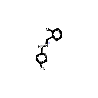 N#Cc1ccc(N/N=C/c2ccccc2Cl)nc1